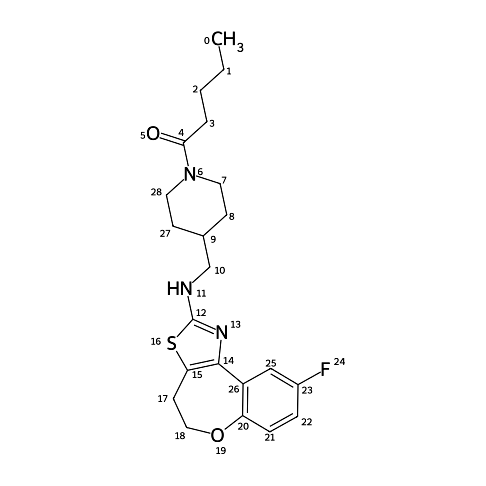 CCCCC(=O)N1CCC(CNc2nc3c(s2)CCOc2ccc(F)cc2-3)CC1